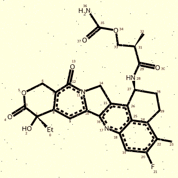 CC[C@@]1(O)C(=O)OCc2c1cc1n(c2=O)Cc2c-1nc1cc(F)c(C)c3c1c2[C@@H](NC(=O)[C@H](C)COC(N)=O)CC3